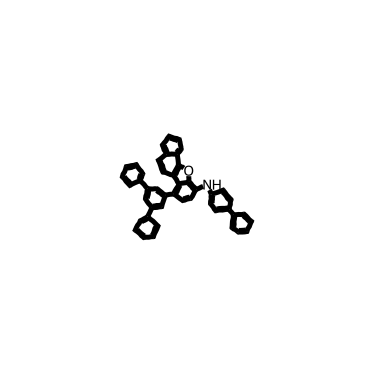 c1ccc(-c2ccc(Nc3ccc(-c4cc(-c5ccccc5)cc(-c5ccccc5)c4)c4c3oc3c5ccccc5ccc34)cc2)cc1